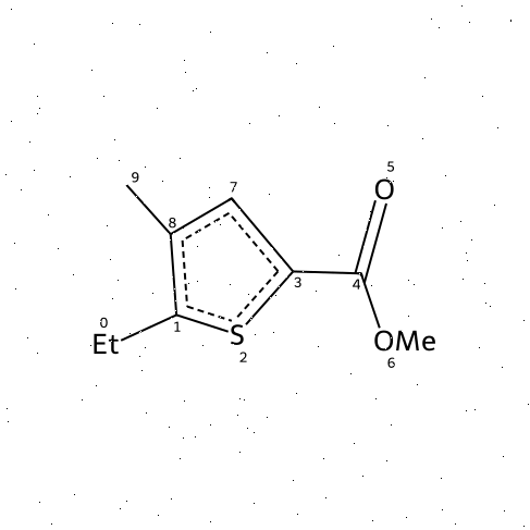 CCc1sc(C(=O)OC)cc1C